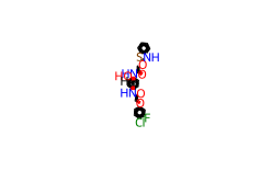 O=C(COc1ccc(Cl)c(F)c1)NC12CCC(NC(=O)COC3Nc4ccccc4S3)(CC1)[C@@H](O)C2